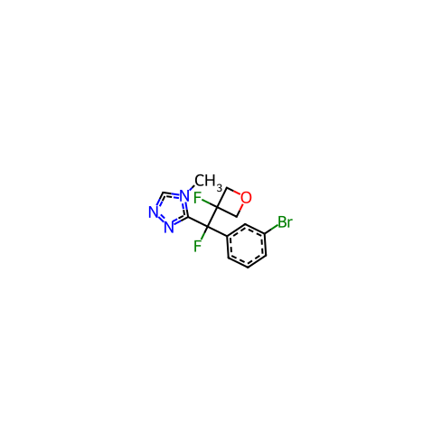 Cn1cnnc1C(F)(c1cccc(Br)c1)C1(F)COC1